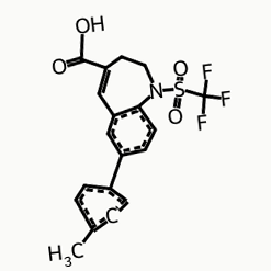 Cc1ccc(-c2ccc3c(c2)C=C(C(=O)O)CCN3S(=O)(=O)C(F)(F)F)cc1